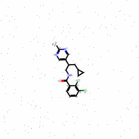 O=C(NCC(CC1CC1)c1cnc(C(F)(F)F)nc1)c1cccc(Cl)c1Cl